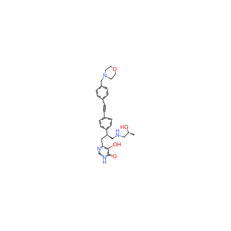 C[C@H](O)CNC[C@@H](Cc1nc[nH]c(=O)c1O)c1ccc(C#Cc2ccc(CN3CCOCC3)cc2)cc1